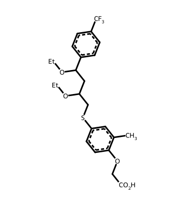 CCOC(CSc1ccc(OCC(=O)O)c(C)c1)CC(OCC)c1ccc(C(F)(F)F)cc1